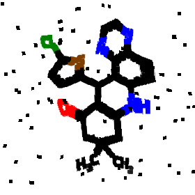 CC1(C)CC(=O)C2=C(C1)Nc1ccc3nccnc3c1C2c1ccc(Cl)s1